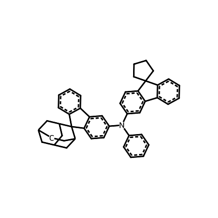 c1ccc(N(c2ccc3c(c2)-c2ccccc2C32CCCC2)c2ccc3c(c2)-c2ccccc2C32C3CCC4CC(C3)CC2C4)cc1